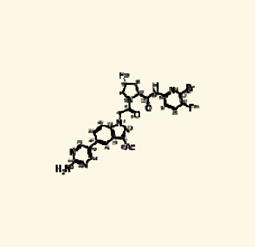 CC(=O)c1nn(CC(=O)N2C[C@H](F)C[C@H]2C(=O)Nc2ccc(F)c(Br)n2)c2ccc(-c3cnc(N)nc3)cc12